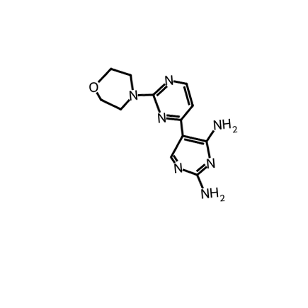 Nc1ncc(-c2ccnc(N3CCOCC3)n2)c(N)n1